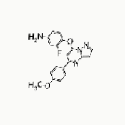 COc1ccc(-c2cc(Oc3ccc(N)cc3F)n3nccc3n2)cc1